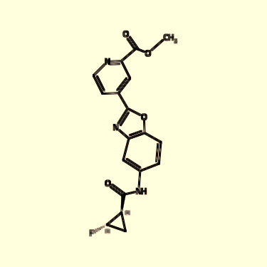 COC(=O)c1cc(-c2nc3cc(NC(=O)[C@H]4C[C@@H]4F)ccc3o2)ccn1